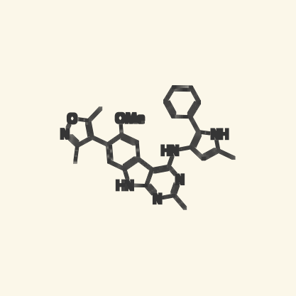 COc1cc2c(cc1-c1c(C)noc1C)[nH]c1nc(C)nc(Nc3cc(C)[nH]c3-c3ccccc3)c12